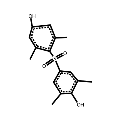 Cc1cc(S(=O)(=O)c2c(C)cc(O)cc2C)cc(C)c1O